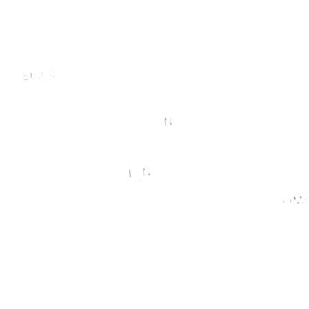 CCOC(=O)c1ccc(N=C(N)c2ccc(OC)cc2)cc1